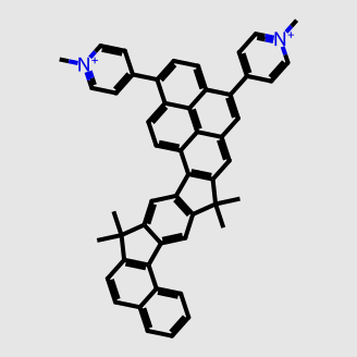 C[n+]1ccc(-c2ccc3c(-c4cc[n+](C)cc4)cc4cc5c(c6ccc2c3c46)-c2cc3c(cc2C5(C)C)-c2c(ccc4ccccc24)C3(C)C)cc1